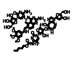 CCCCCOC(=O)Nc1nc(=O)n([C@@H]2O[C@H](C)[C@@H](O)[C@H]2O)cc1F.COc1cc(NCc2ccc3nc(N)nc(N)c3c2C)cc(OC)c1OC.Nc1ncn([C@@H]2O[C@H](CO)[C@@H](O)[C@H]2O)c(=O)n1.OC[C@H]1O[C@@H](n2cnc3c2N=CNC[C@H]3O)C[C@@H]1O